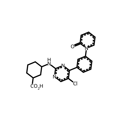 O=C(O)C1CCCC(Nc2ncc(Cl)c(-c3cccc(-n4ccccc4=O)c3)n2)C1